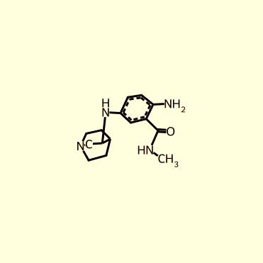 CNC(=O)c1cc(NC2CN3CCC2CC3)ccc1N